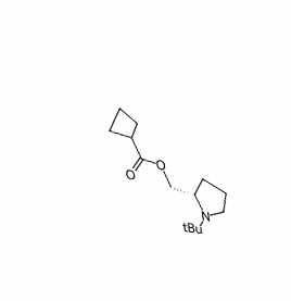 CC(C)(C)N1CCC[C@H]1COC(=O)C1CCC1